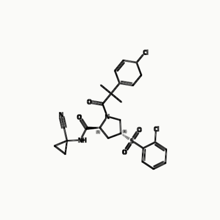 CC(C)(C(=O)N1C[C@H](S(=O)(=O)c2ccccc2Cl)C[C@H]1C(=O)NC1(C#N)CC1)C1=CCC(Cl)C=C1